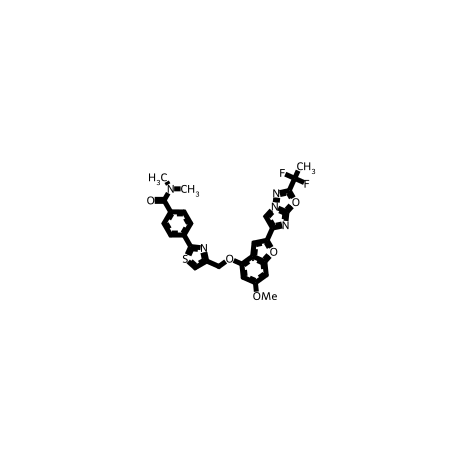 COc1cc(OCc2csc(-c3ccc(C(=O)N(C)C)cc3)n2)c2cc(-c3cn4nc(C(C)(F)F)oc4n3)oc2c1